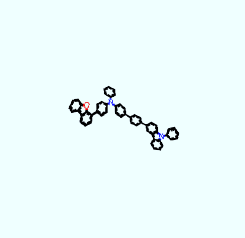 c1ccc(N(c2ccc(-c3ccc(-c4ccc5c(c4)c4ccccc4n5-c4ccccc4)cc3)cc2)c2ccc(-c3cccc4c3oc3ccccc34)cc2)cc1